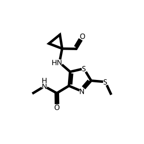 CNC(=O)c1nc(SC)sc1NC1(C=O)CC1